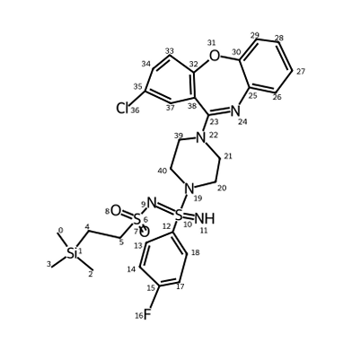 C[Si](C)(C)CCS(=O)(=O)N=S(=N)(c1ccc(F)cc1)N1CCN(C2=Nc3ccccc3Oc3ccc(Cl)cc32)CC1